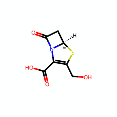 O=C(O)C1=C(CO)S[C@@H]2CC(=O)N12